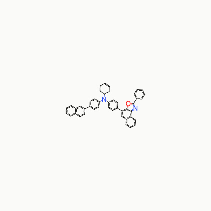 C1=CCC(N(c2ccc(-c3ccc4ccccc4c3)cc2)c2ccc(-c3cc4ccccc4c4nc(-c5ccccc5)oc34)cc2)C=C1